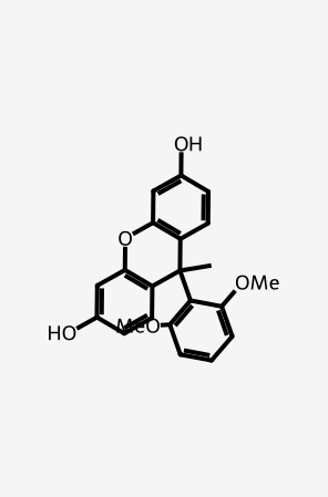 COc1cccc(OC)c1C1(C)c2ccc(O)cc2Oc2cc(O)ccc21